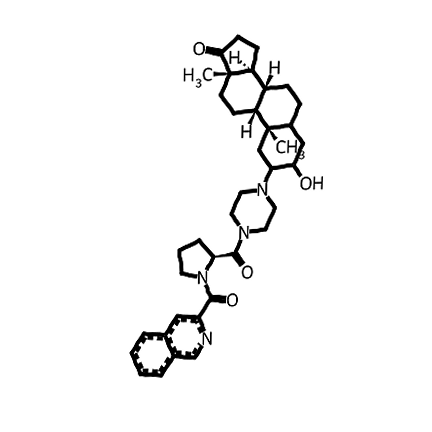 C[C@]12CC(N3CCN(C(=O)[C@@H]4CCCN4C(=O)c4cc5ccccc5cn4)CC3)C(O)CC1CC[C@@H]1[C@H]2CC[C@]2(C)C(=O)CC[C@@H]12